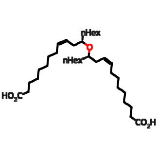 CCCCCC[C@H](C/C=C\CCCCCCCC(=O)O)O[C@@H](C/C=C\CCCCCCCC(=O)O)CCCCCC